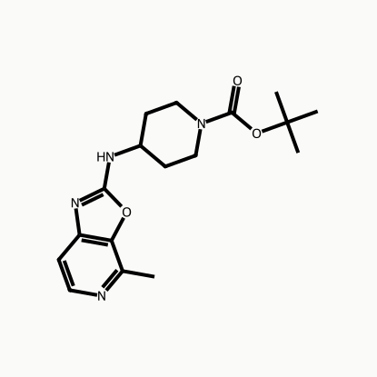 Cc1nccc2nc(NC3CCN(C(=O)OC(C)(C)C)CC3)oc12